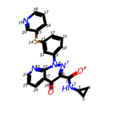 O=C(NC1CC1)c1nn(-c2cccc(Sc3cccnc3)c2)c2ncccc2c1=O